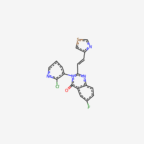 O=c1c2cc(F)ccc2nc(C=Cc2cscn2)n1-c1cccnc1Cl